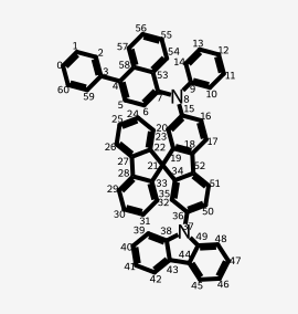 c1ccc(-c2ccc(N(c3ccccc3)c3ccc4c(c3)C3(c5ccccc5-c5ccccc53)c3cc(-n5c6ccccc6c6ccccc65)ccc3-4)c3ccccc23)cc1